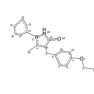 CCOc1ccc(Cc2c(C)n(-c3ccccc3)[nH]c2=O)cc1